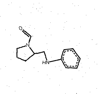 O=[C]N1CCCC1CNc1ccccc1